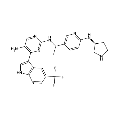 CC(Nc1ncc(N)c(-c2c[nH]c3ncc(C(F)(F)F)cc23)n1)c1ccc(N[C@H]2CCNC2)nc1